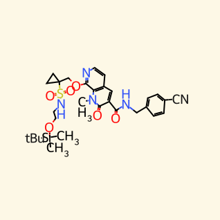 Cn1c(=O)c(C(=O)NCc2ccc(C#N)cc2)cc2ccnc(OCC3(S(=O)(=O)NCCO[Si](C)(C)C(C)(C)C)CC3)c21